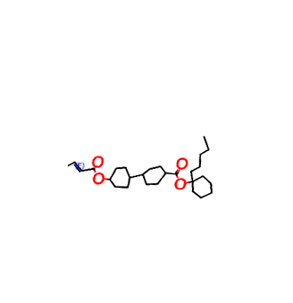 C/C=C/C(=O)OC1CCC(C2CCC(C(=O)OC3(CCCCC)CCCCC3)CC2)CC1